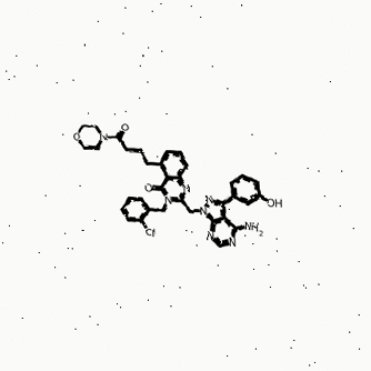 Nc1ncnc2c1c(-c1cccc(O)c1)nn2Cc1nc2cccc(CCCC(=O)N3CCOCC3)c2c(=O)n1Cc1ccccc1Cl